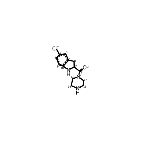 O=C(C1Cc2cc(Cl)ccc2N1)N1CCNCC1